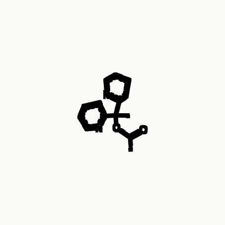 CC(=O)OC(C)(c1ccccn1)c1ccccn1